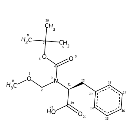 COCN(C(=O)OC(C)(C)C)[C@@H](Cc1ccccc1)C(=O)O